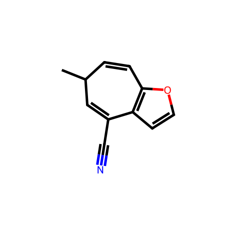 CC1C=Cc2occc2C(C#N)=C1